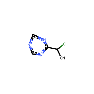 N#CC(Cl)c1ncncn1